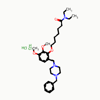 CCN(CC)C(=O)CCCCCCOc1c(CN2CCN(Cc3ccccc3)CC2)ccc(OC)c1OC.Cl.Cl